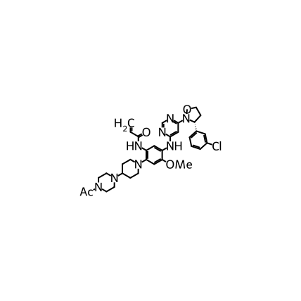 C=CC(=O)Nc1cc(Nc2cc(N3OCC[C@@H]3c3cccc(Cl)c3)ncn2)c(OC)cc1N1CCC(N2CCN(C(C)=O)CC2)CC1